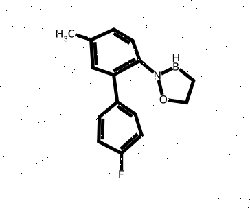 Cc1ccc(N2BCCO2)c(-c2ccc(F)cc2)c1